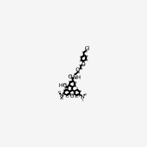 CN(C)c1ccc2c(-c3ccc(C(=O)NCCOCCOc4ccc(CCCl)cc4)cc3C(=O)O)c3ccc(=[N+](C)C)cc-3oc2c1